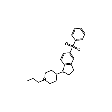 CCCN1CCC(N2CCc3cc(S(=O)(=O)c4ccccc4)ccc32)CC1